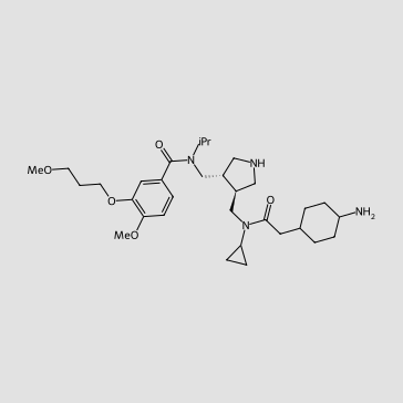 COCCCOc1cc(C(=O)N(C[C@@H]2CNC[C@H]2CN(C(=O)CC2CCC(N)CC2)C2CC2)C(C)C)ccc1OC